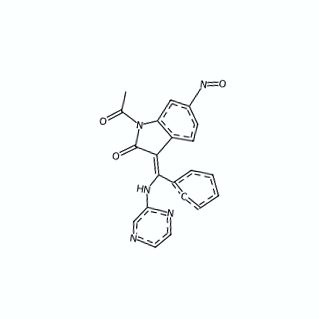 CC(=O)N1C(=O)/C(=C(\Nc2cnccn2)c2ccccc2)c2ccc(N=O)cc21